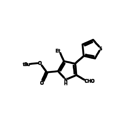 CCc1c(C(=O)OC(C)(C)C)[nH]c(C=O)c1-c1ccsc1